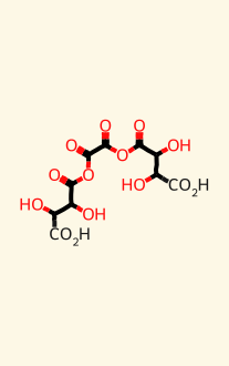 O=C(OC(=O)C(O)C(O)C(=O)O)C(=O)OC(=O)C(O)C(O)C(=O)O